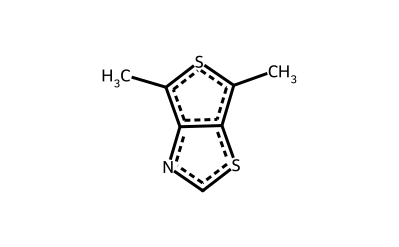 Cc1sc(C)c2scnc12